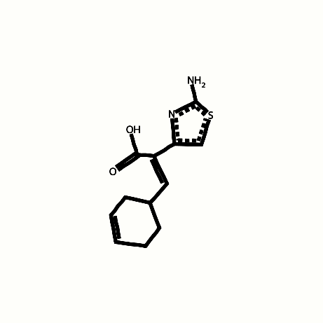 Nc1nc(/C(=C/C2CC=CCC2)C(=O)O)cs1